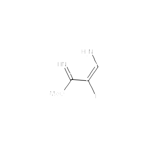 COC(=N)/C(I)=C\N